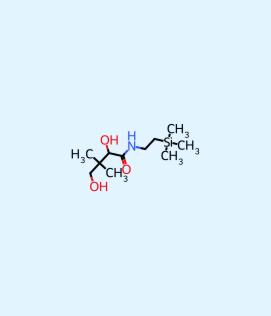 CC(C)(CO)C(O)C(=O)NCC[Si](C)(C)C